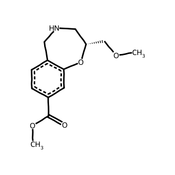 COC[C@H]1CNCc2ccc(C(=O)OC)cc2O1